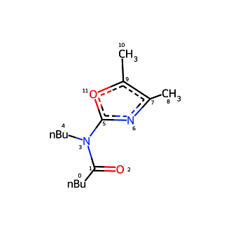 CCCCC(=O)N(CCCC)c1nc(C)c(C)o1